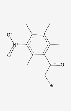 Cc1c(C)c(C(=O)CBr)c(C)c([N+](=O)[O-])c1C